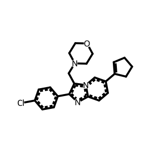 Clc1ccc(-c2nc3ccc(C4=CCCC4)cn3c2CN2CCOCC2)cc1